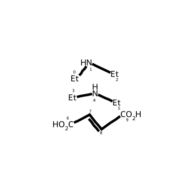 CCNCC.CCNCC.O=C(O)C=CC(=O)O